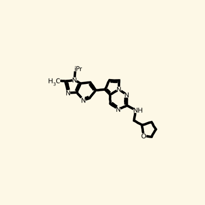 Cc1nc2ncc(-c3ccn4nc(NCC5CCCO5)ncc34)cc2n1C(C)C